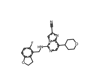 N#Cc1cn2c(NCc3c(F)ccc4c3CCO4)ncc(C3CCOCC3)c2n1